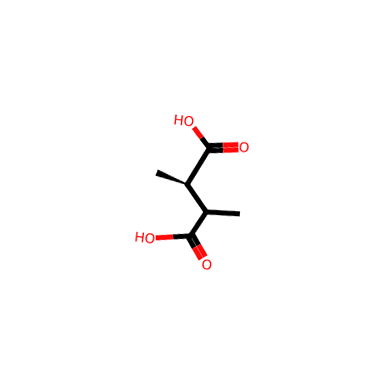 CC(C(=O)O)[C@@H](C)C(=O)O